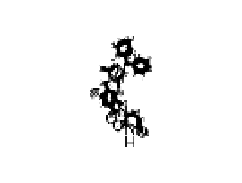 CC1CN(C(c2ccccc2)c2ccccc2)CC(C)N1Cc1cc2c(cc1F)C(=O)N(C1CCC(=O)NC1=O)C2